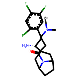 CC(=O)N(C)CCC(=O)N1C2CCC1CC([C@H](N)Cc1cc(F)c(F)cc1F)C2